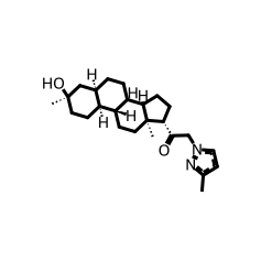 Cc1ccn(CC(=O)[C@H]2CC[C@H]3[C@@H]4CC[C@@H]5C[C@](C)(O)CC[C@@H]5[C@H]4CC[C@]23C)n1